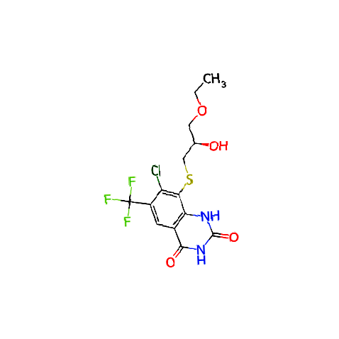 CCOC[C@@H](O)CSc1c(Cl)c(C(F)(F)F)cc2c(=O)[nH]c(=O)[nH]c12